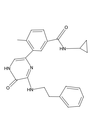 Cc1ccc(C(=O)NC2CC2)cc1-c1c[nH]c(=O)c(NCCc2ccccc2)n1